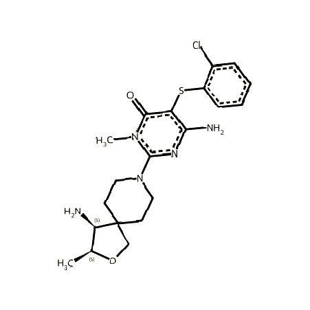 C[C@@H]1OCC2(CCN(c3nc(N)c(Sc4ccccc4Cl)c(=O)n3C)CC2)[C@@H]1N